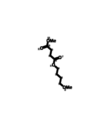 COCCCCOC(=O)CCC(=O)OC